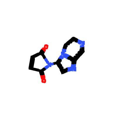 O=C1C=CC(=O)N1c1cnc2cnccn12